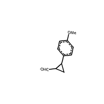 COc1ccc(C2CC2[C]=O)cc1